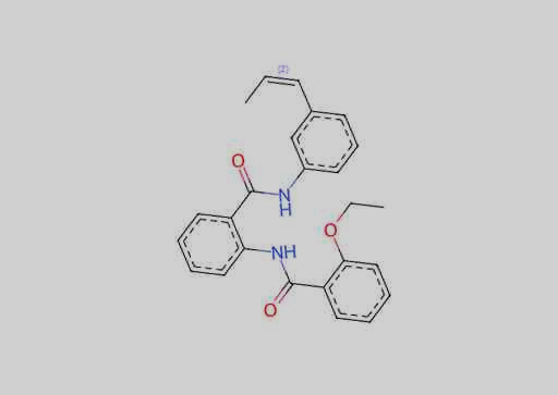 C/C=C\c1cccc(NC(=O)c2ccccc2NC(=O)c2ccccc2OCC)c1